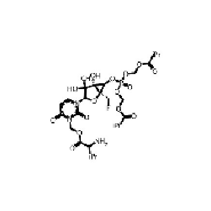 CC(C)C(=O)OCOP(=O)(OCOC(=O)C(C)C)OC1[C@]2(O)[C@@](C)(O)[C@H](n3ccc(=O)n(COC(=O)C(N)C(C)C)c3=O)O[C@]12CF